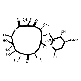 CC[C@H]1OC(=O)[C@@](C)(F)C(=O)[C@H](C)[C@@H](O[C@@H]2O[C@H](C)C[C@H](NC)[C@H]2O)[C@](C)(OC)C[C@@H](C)C(=O)[C@H](C)[C@@H](O)[C@]1(C)O